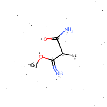 CCCCOC(=N)C(CC)C(N)=O